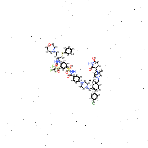 C[C@@]1(CN2C[C@H]3CCC2CN3C2CCC(=O)NC2=O)CCC(c2ccc(Cl)cc2)=C(CN2CCN(c3ccc(C(=O)NS(=O)(=O)c4ccc(N[C@H](CCN5CCCOCC5)CSc5ccccc5)c(S(=O)(=O)C(F)(F)F)c4)cc3)CC2)C1